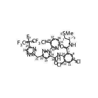 CSC[C@H](C)NC(=O)c1cc(Cl)cc(Cl)c1NC(=O)c1cc(Cn2ncc(C(F)(C(F)(F)F)C(F)(F)F)n2)nn1-c1ncccc1Cl